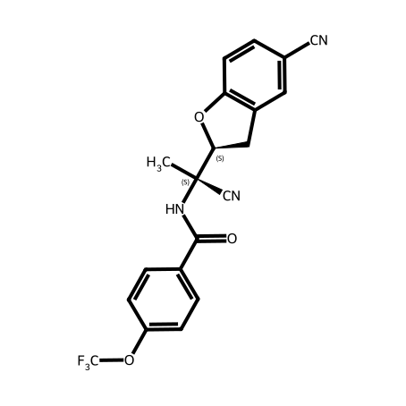 C[C@@](C#N)(NC(=O)c1ccc(OC(F)(F)F)cc1)[C@@H]1Cc2cc(C#N)ccc2O1